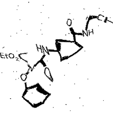 CCOC(=O)N(Oc1ccccc1)C(=O)Nc1cccc(C(=O)N[CH]C=O)c1